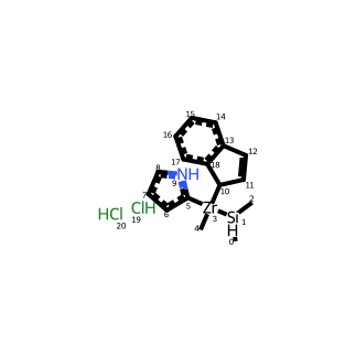 C[SiH](C)[Zr]([CH3])([c]1ccc[nH]1)[CH]1C=Cc2ccccc21.Cl.Cl